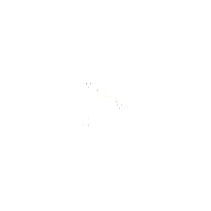 [Co].[Co].[Cu].[Cu].[Mo][S][S][Mo]